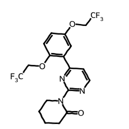 O=C1CCCCN1c1nccc(-c2cc(OCC(F)(F)F)ccc2OCC(F)(F)F)n1